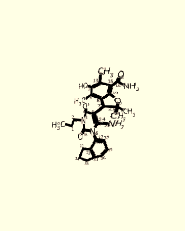 CCCn1c(=O)c(C2c3c(C)c(O)c(C)c(C(N)=O)c3OC2(C)C)c(N)n(-c2cccc3c2CCC3)c1=O